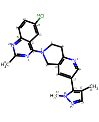 Cc1nc(N2CCc3ncc(-c4c(C)cnn4C)cc3C2)c2cc(Cl)ccc2n1